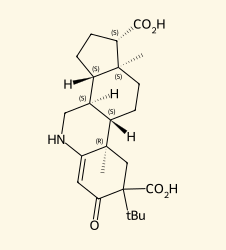 CC(C)(C)C1(C(=O)O)C[C@@]2(C)C(=CC1=O)NC[C@H]1[C@@H]3CC[C@H](C(=O)O)[C@@]3(C)CC[C@@H]12